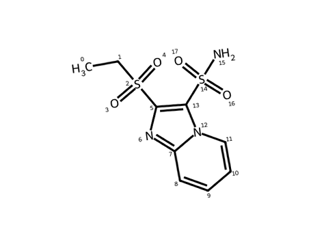 CCS(=O)(=O)c1nc2ccccn2c1S(N)(=O)=O